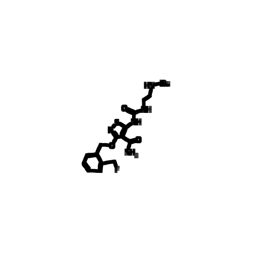 CCC(C)NCCNC(=O)Nc1snc(OCc2ccccc2CF)c1C(N)=O